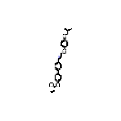 C=CC(=O)Oc1ccc(-c2ccc(/C=C/COc3ccc(OCC(=C)C)cc3)cc2)cc1